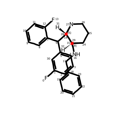 Fc1cccc(C(c2ccccc2F)[C@H]2[C@H](NCc3ccccc3)C3CCN2CC3)c1